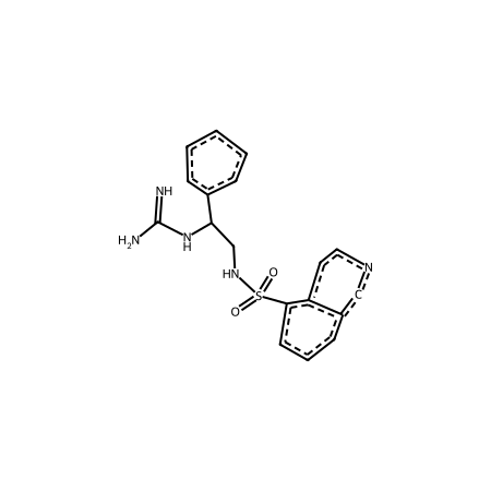 N=C(N)NC(CNS(=O)(=O)c1cccc2cnccc12)c1ccccc1